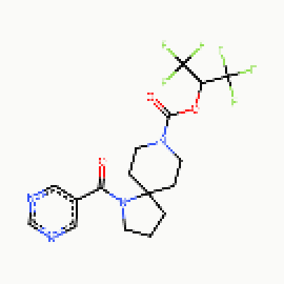 O=C(OC(C(F)(F)F)C(F)(F)F)N1CCC2(CCCN2C(=O)c2cncnc2)CC1